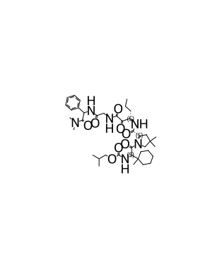 CCC[C@H](NC(=O)[C@@H]1CC(C)(C)CN1C(=O)[C@@H](NC(=O)OCC(C)C)C1(C)CCCCC1)C(=O)C(=O)NCC(=O)NC(C(=O)N(C)C)c1ccccc1